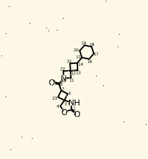 O=C1NC2(CO1)CC(C(=O)N1CC3(CC(C4CCCCC4)C3)C1)C2